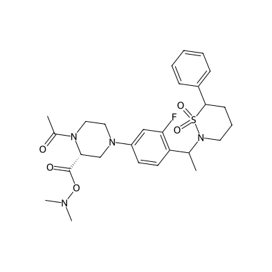 CC(=O)N1CCN(c2ccc(C(C)N3CCCC(c4ccccc4)S3(=O)=O)c(F)c2)C[C@@H]1C(=O)ON(C)C